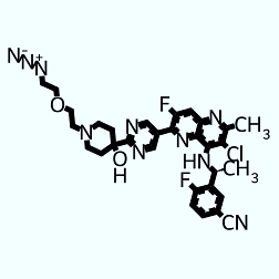 Cc1nc2cc(F)c(-c3cnc(C4(O)CCN(CCOCCN=[N+]=[N-])CC4)nc3)nc2c(N[C@H](C)c2cc(C#N)ccc2F)c1Cl